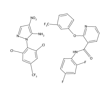 Nc1c([N+](=O)[O-])cnn1-c1c(Cl)cc(C(F)(F)F)cc1Cl.O=C(Nc1ccc(F)cc1F)c1cccnc1Oc1cccc(C(F)(F)F)c1